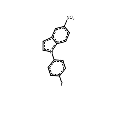 O=[N+]([O-])c1ccc2c(ccn2-c2ccc(F)cc2)c1